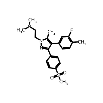 Cc1ccc(-c2c(-c3ccc(S(C)(=O)=O)cc3)nn(CCN(C)C)c2C(F)(F)F)cc1F